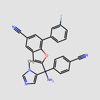 Cn1cncc1C(N)(c1ccc(C#N)cc1)c1cc2cc(C#N)cc(-c3cccc(F)c3)c2o1